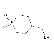 C=S1(=O)CCC(CN)CC1